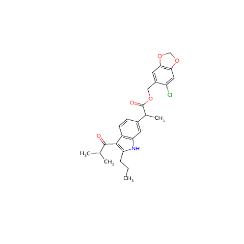 CCCc1[nH]c2cc(C(C)C(=O)OCc3cc4c(cc3Cl)OCO4)ccc2c1C(=O)C(C)C